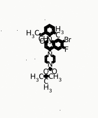 Cc1cccc(C(C)C)c1-n1c(=O)cc(N2CCN(C(=O)OC(C)(C)C)CC2)c2cc(F)c(Br)cc21